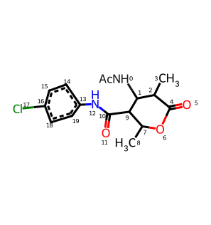 CC(=O)NC1C(C)C(=O)OC(C)C1C(=O)Nc1ccc(Cl)cc1